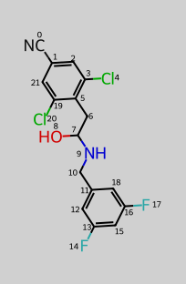 N#Cc1cc(Cl)c(CC(O)NCc2cc(F)cc(F)c2)c(Cl)c1